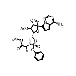 CC(=O)O[C@H]1[C@@H](OC(C)=O)[C@](C)(c2ccc3c(N)ncnn23)O[C@@H]1CO[P@@](=O)(N[C@@H](C)C(=O)OC(C)C)Oc1ccccc1